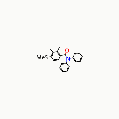 CSc1ccc(C(=O)N(c2ccccc2)c2ccccc2)c(C)c1C